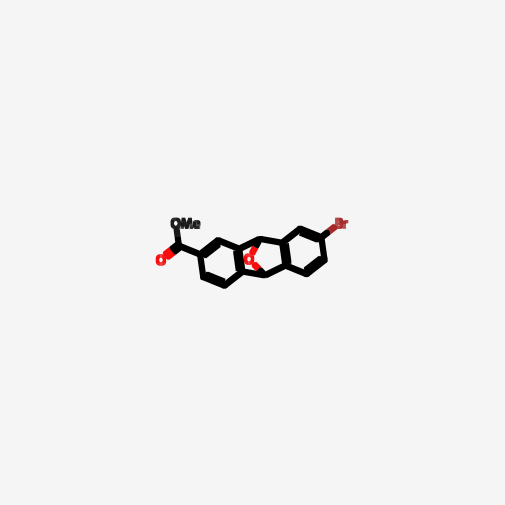 COC(=O)c1ccc2c(c1)C1OC2c2ccc(Br)cc21